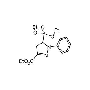 CCOC(=O)C1=NN(c2ccccc2)C(P(=O)(OCC)OCC)C1